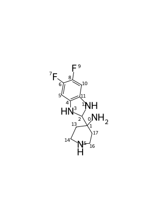 NC1(C2Nc3cc(F)c(F)cc3N2)CCNCC1